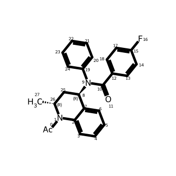 CC(=O)N1c2ccccc2[C@H](N(C(=O)c2ccc(F)cc2)c2ccccc2)C[C@H]1C